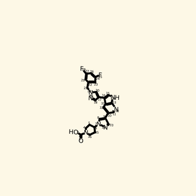 O=C(O)N1CCC(n2cc(-c3cnc4[nH]cc(-c5cnn(Cc6cc(F)cc(F)c6)c5)c4c3)cn2)CC1